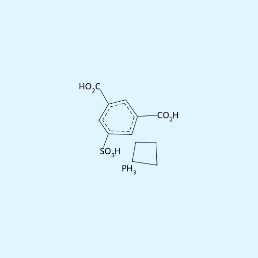 C1CCC1.O=C(O)c1cc(C(=O)O)cc(S(=O)(=O)O)c1.P